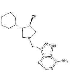 Nc1ncnc2c(CN3C[C@H](C4CCCCC4)[C@@H](O)C3)c[nH]c12